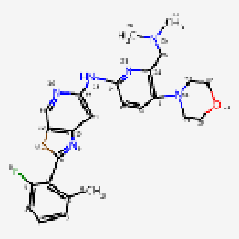 Cc1cccc(F)c1-c1nc2cc(Nc3ccc(N4CCOCC4)c(CN(C)C)n3)ncc2s1